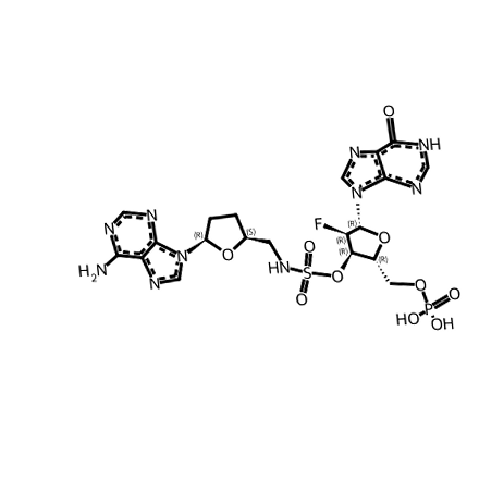 Nc1ncnc2c1ncn2[C@H]1CC[C@@H](CNS(=O)(=O)O[C@H]2[C@@H](F)[C@H](n3cnc4c(=O)[nH]cnc43)O[C@@H]2COP(=O)(O)O)O1